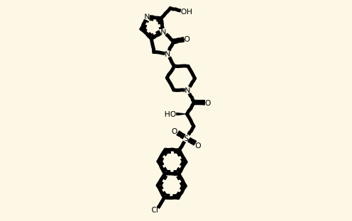 O=C([C@H](O)CS(=O)(=O)c1ccc2cc(Cl)ccc2c1)N1CCC(N2Cc3cnc(CO)n3C2=O)CC1